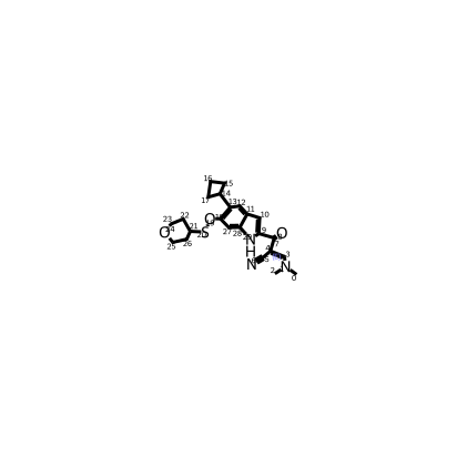 CN(C)/C=C(\C#N)C(=O)c1cc2cc(C3CCC3)c(OSC3CCOCC3)cc2[nH]1